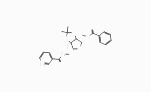 CC1(C)O[C@@H]2[C@@H](CNC(=O)c3cccnc3)OC[C@]2(CNC(=O)c2ccccc2)O1